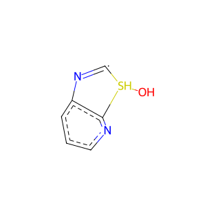 O[SH]1[C]=Nc2cccnc21